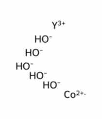 [Co+2].[OH-].[OH-].[OH-].[OH-].[OH-].[Y+3]